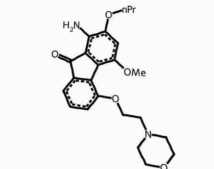 CCCOc1cc(OC)c2c(c1N)C(=O)c1cccc(OCCN3CCOCC3)c1-2